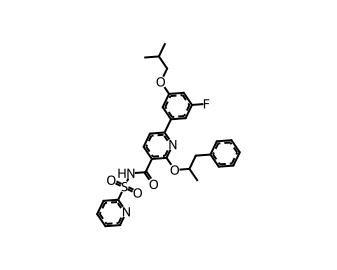 CC(C)COc1cc(F)cc(-c2ccc(C(=O)NS(=O)(=O)c3ccccn3)c(OC(C)Cc3ccccc3)n2)c1